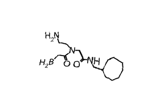 BCC(=O)N(CCN)CC(=O)NCC1CCCCCCC1